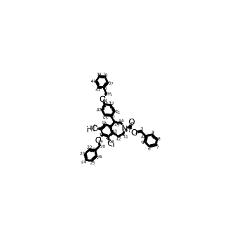 O=C(OCc1ccccc1)N1CCc2c(cc(O)c(OCc3ccccc3)c2Cl)C(c2ccc(OCc3ccccc3)cc2)C1